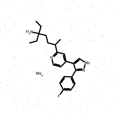 CCC(N)(CC)CCC(C)c1cc(-c2c[nH]nc2-c2ccc(F)cc2)ccn1.N